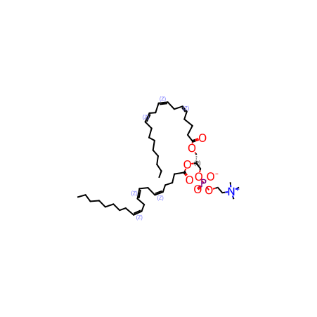 CCCCCCCC/C=C\C/C=C\C/C=C\CCCC(=O)OC[C@H](COP(=O)([O-])OCC[N+](C)(C)C)OC(=O)CCC/C=C\C/C=C\C/C=C\CCCCCCCC